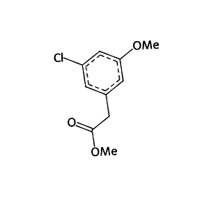 COC(=O)Cc1cc(Cl)cc(OC)c1